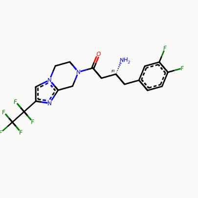 N[C@@H](CC(=O)N1CCn2cc(C(F)(F)C(F)(F)F)nc2C1)Cc1ccc(F)c(F)c1